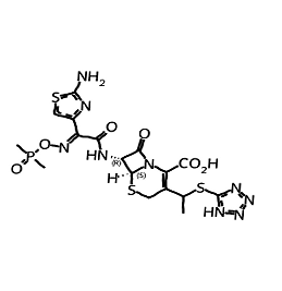 CC(Sc1nnn[nH]1)C1=C(C(=O)O)N2C(=O)[C@@H](NC(=O)C(=NOP(C)(C)=O)c3csc(N)n3)[C@@H]2SC1